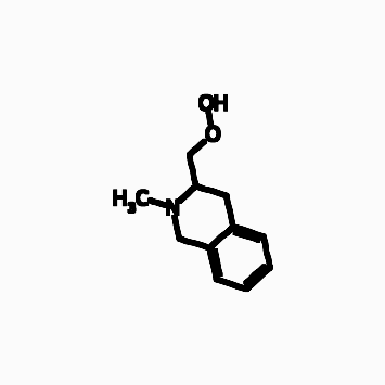 CN1Cc2ccccc2CC1COO